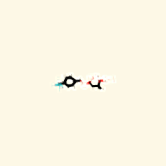 C=C(CC(=O)OCc1ccc(C(F)(F)F)cc1)C(=O)O